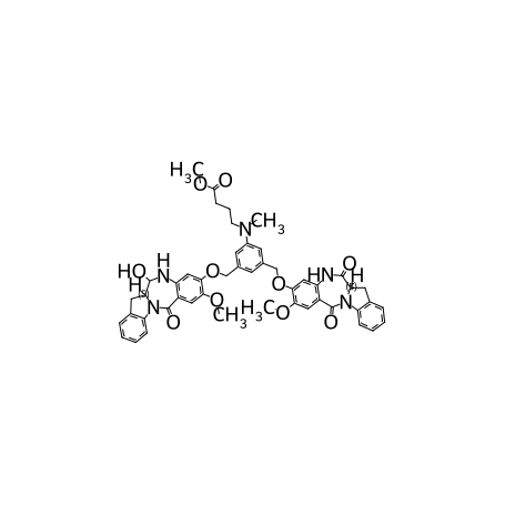 COC(=O)CCCN(C)c1cc(COc2cc3c(cc2OC)C(=O)N2c4ccccc4C[C@H]2C(=O)N3)cc(COc2cc3c(cc2OC)C(=O)N2c4ccccc4C[C@H]2C(O)N3)c1